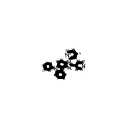 c1ccc(-n2c3ccccc3c3c4nc(-c5ccncc5)n(-c5ccccn5)c4ccc32)cc1